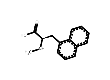 CN[C@H](Cc1cccc2ccccc12)C(=O)O